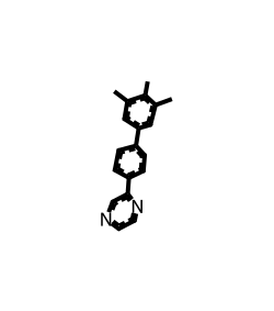 Cc1cc(-c2ccc(-c3cnccn3)cc2)cc(C)c1C